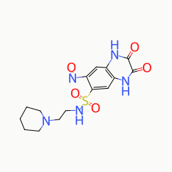 O=Nc1cc2[nH]c(=O)c(=O)[nH]c2cc1S(=O)(=O)NCCN1CCCCC1